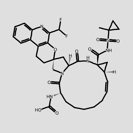 CC1(S(=O)(=O)NC(=O)[C@@]23C[C@H]2C=CCCCCC[C@H](NC(=O)O)C(=O)N2C[C@@]4(CCc5c(c(C(F)F)nc6ccccc56)O4)C[C@H]2C(=O)N3)CC1